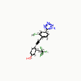 Oc1ccc(C#Cc2ccc(-c3nnn[nH]3)cc2F)c(C(F)(F)F)c1